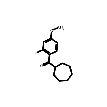 COc1ccc(C(=O)C2CCCCCC2)c(F)c1